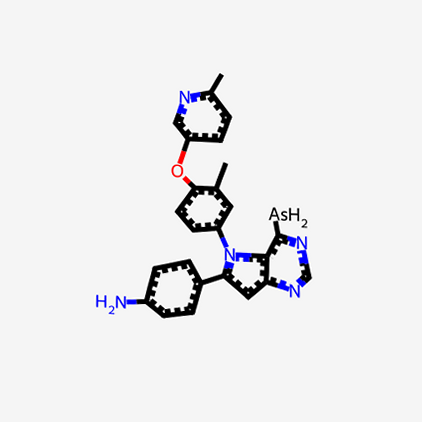 Cc1ccc(Oc2ccc(-n3c(-c4ccc(N)cc4)cc4ncnc([AsH2])c43)cc2C)cn1